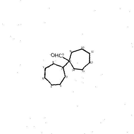 O=[C]C1(C2CCCCCC2)CCCCCC1